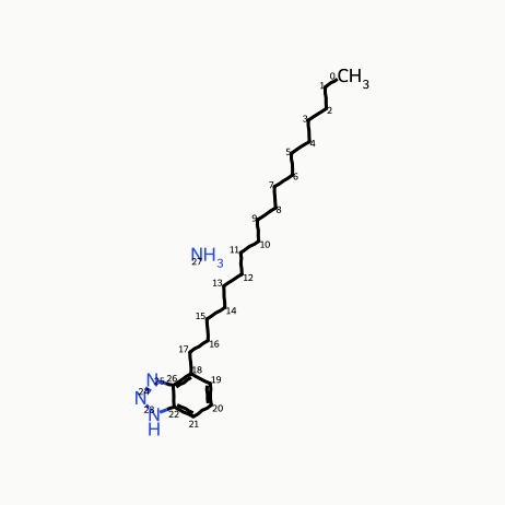 CCCCCCCCCCCCCCCCCCc1cccc2[nH]nnc12.N